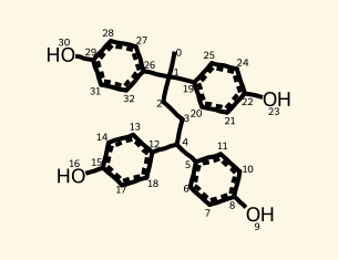 CC(CCC(c1ccc(O)cc1)c1ccc(O)cc1)(c1ccc(O)cc1)c1ccc(O)cc1